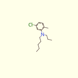 CCCCCN(CCC)c1cc(Cl)ccc1C